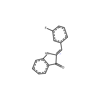 O=C1/C(=C/c2cccc(F)c2)Nc2ccccc21